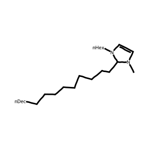 CCCCCCCCCCCCCCCCCCCC1N(C)C=CN1CCCCCC